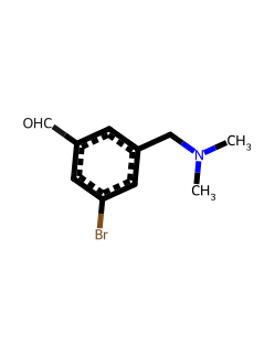 CN(C)Cc1cc(Br)cc(C=O)c1